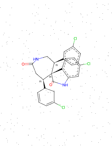 O=C1C[C@H](C2C=CC=C(Cl)C2)[C@@]2(C(=O)Nc3cc(Cl)ccc32)[C@H](c2cccc(Cl)c2)CN1